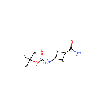 CC(C)(C)OC(=O)N[C@H]1C[C@@H](C(N)=O)C1